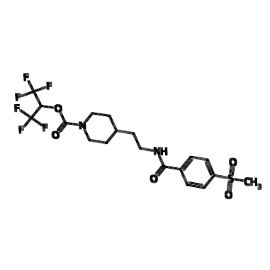 CS(=O)(=O)c1ccc(C(=O)NCCC2CCN(C(=O)OC(C(F)(F)F)C(F)(F)F)CC2)cc1